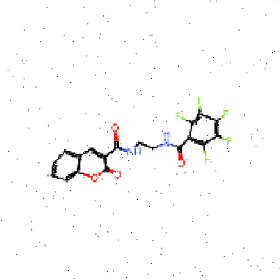 O=C(NCCNC(=O)c1cc2cc[c]cc2oc1=O)c1c(F)c(F)c(F)c(F)c1F